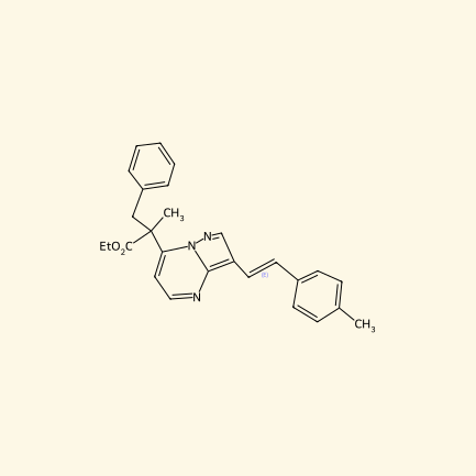 CCOC(=O)C(C)(Cc1ccccc1)c1ccnc2c(/C=C/c3ccc(C)cc3)cnn12